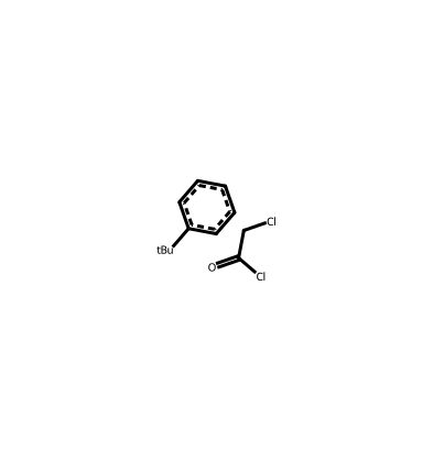 CC(C)(C)c1ccccc1.O=C(Cl)CCl